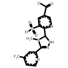 CCS(=O)(=O)c1cc(C(=O)Cl)cnc1C1NN=C(c2cc(C(F)(F)F)ccn2)N1C